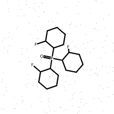 O=P(C1CCCCC1F)(C1CCCCC1F)C1CCCCC1F